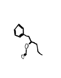 CCCC(Cc1ccccc1)OC=O